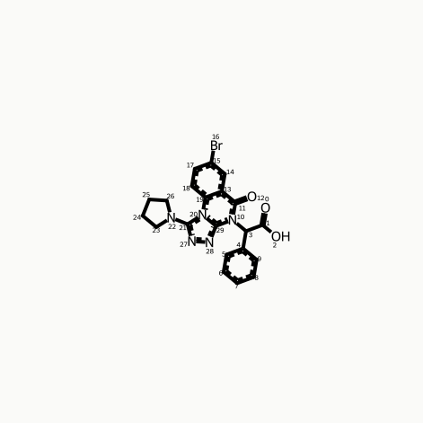 O=C(O)C(c1ccccc1)n1c(=O)c2cc(Br)ccc2n2c(N3CCCC3)nnc12